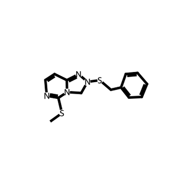 CSC1=NC=CC2=NN(SCc3ccccc3)CN21